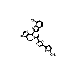 Cn1ccc(-c2nnc(C(=O)N3CCc4[nH]cnc4C3c3cc4cccc(Cl)n4n3)o2)n1